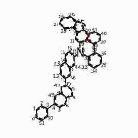 c1ccc(-c2ccc3ccc(-c4ccc5ccc(N(c6ccc7sc8ccccc8c7c6)c6ccccc6-c6ccccc6)cc5c4)cc3c2)cc1